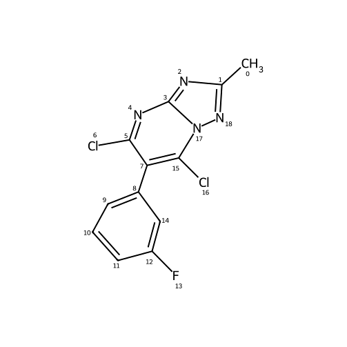 Cc1nc2nc(Cl)c(-c3cccc(F)c3)c(Cl)n2n1